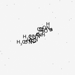 COCc1nn2ccnc(Nc3cc([C@@H]4OC[C@H](OC(=O)NC56CC(C5)C6)[C@@H]4F)[nH]n3)c2c1C